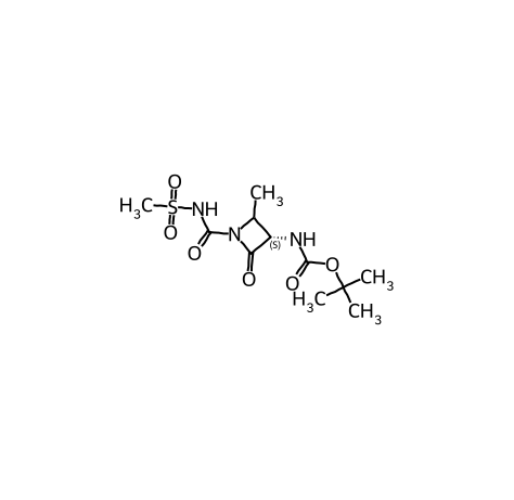 CC1[C@H](NC(=O)OC(C)(C)C)C(=O)N1C(=O)NS(C)(=O)=O